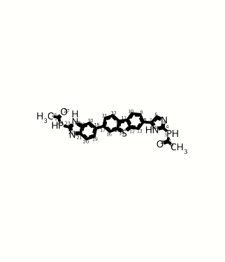 CC(=O)Pc1ncc(-c2ccc3c(c2)sc2cc(-c4ccc5nc(PC(C)=O)[nH]c5c4)ccc23)[nH]1